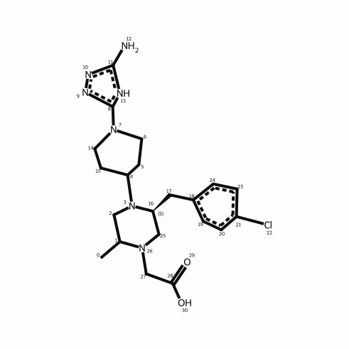 CC1CN(C2CCN(c3nnc(N)[nH]3)CC2)[C@@H](Cc2ccc(Cl)cc2)CN1CC(=O)O